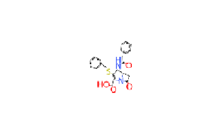 CC(=O)NC1C(SCc2ccccc2)=C(C(=O)O)N2C(=O)CC12.c1ccccc1